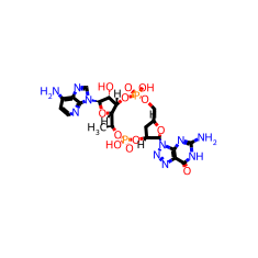 C[C@@H]1OP(=O)(O)O[C@@H]2C[C@@H](COP(=O)(O)O[C@H]3[C@@H](O)[C@H](n4cnc5c(N)ccnc54)O[C@H]31)O[C@H]2n1nnc2c(=O)[nH]c(N)nc21